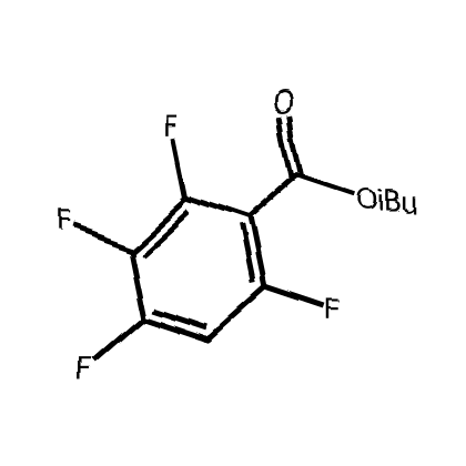 CC(C)COC(=O)c1c(F)cc(F)c(F)c1F